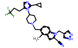 Cc1c(CN2CCC(n3c(CCC(F)(F)F)cnc3C3CC3)CC2)ccc2c1cc(C#N)n2Cc1cn[nH]c1